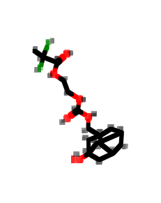 CC(F)(F)C(=O)OCCOC(=O)OCC12CC3CC(CC(O)(C3)C1)C2